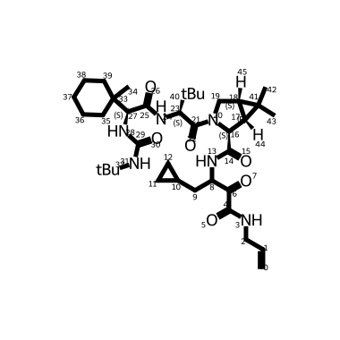 C=CCNC(=O)C(=O)C(CC1CC1)NC(=O)[C@@H]1[C@@H]2[C@H](CN1C(=O)[C@@H](NC(=O)[C@@H](NC(=O)NC(C)(C)C)C1(C)CCCCC1)C(C)(C)C)C2(C)C